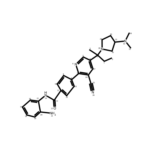 CCC(C)(c1cnc(-c2ccc(C(=O)Nc3ccccc3N)cc2)c(C#N)c1)N1CCC(N(C)C)C1